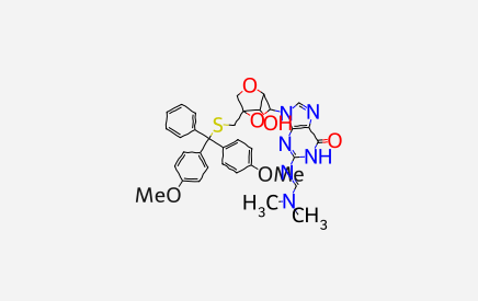 COc1ccc(C(SCC23COC(C(n4cnc5c(=O)[nH]c(/N=C/N(C)C)nc54)O2)C3O)(c2ccccc2)c2ccc(OC)cc2)cc1